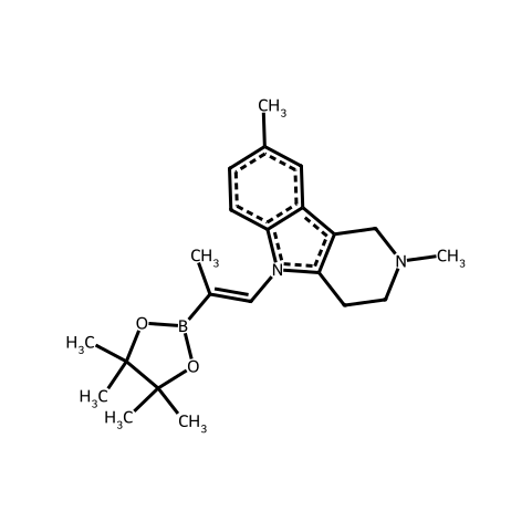 CC(=Cn1c2c(c3cc(C)ccc31)CN(C)CC2)B1OC(C)(C)C(C)(C)O1